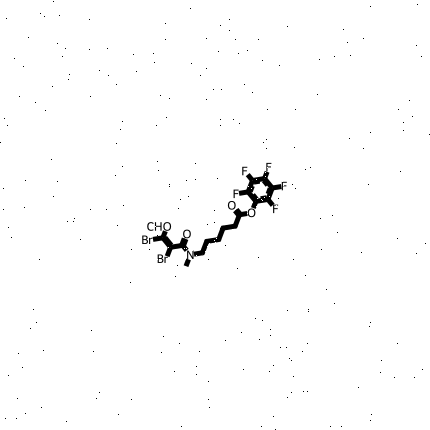 CN(CCCCCC(=O)Oc1c(F)c(F)c(F)c(F)c1F)C(=O)/C(Br)=C(/Br)C=O